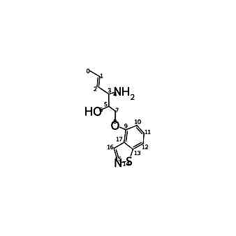 CC=CC(N)C(O)COc1cccc2sncc12